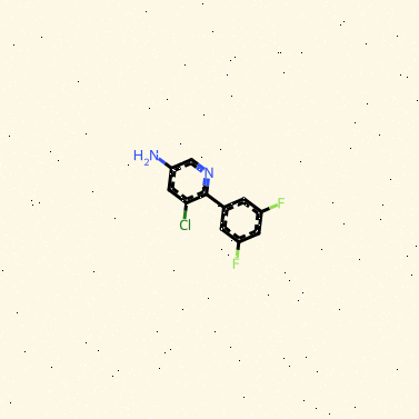 Nc1cnc(-c2cc(F)cc(F)c2)c(Cl)c1